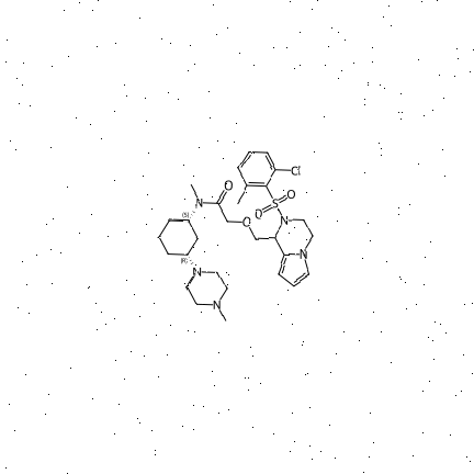 Cc1cccc(Cl)c1S(=O)(=O)N1CCn2cccc2C1COCC(=O)N(C)[C@H]1CCC[C@@H](N2CCN(C)CC2)C1